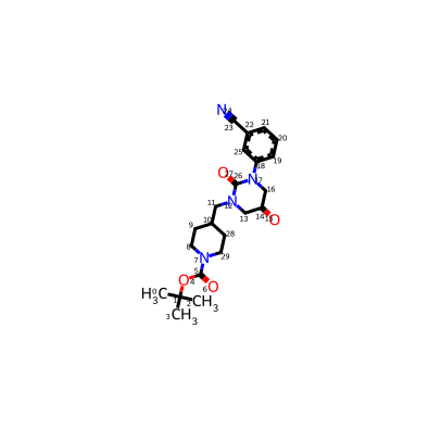 CC(C)(C)OC(=O)N1CCC(CN2CC(=O)CN(c3cccc(C#N)c3)C2=O)CC1